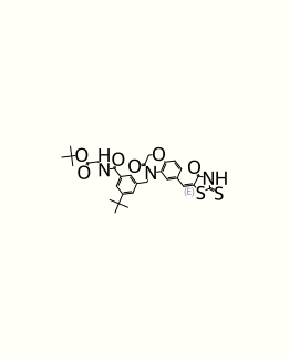 CC(C)(C)OC(=O)CNC(=O)c1cc(CN2C(=O)COc3ccc(/C=C4/SC(=S)NC4=O)cc32)cc(C(C)(C)C)c1